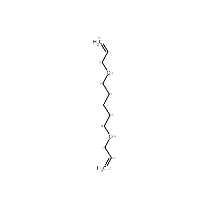 C=CCOCCCCCOCC=C